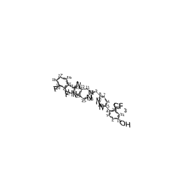 Oc1ccc(-c2ccc(CN3Cc4nc(-c5cccc(F)c5F)[nH]c4C=N3)nn2)c(C(F)(F)F)c1